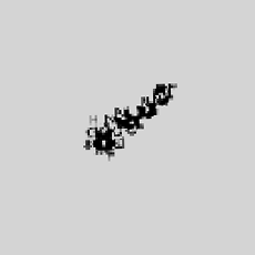 C[C@@H](Oc1c(N)ncc2c(-c3ccc(N4CCN(C)CC4)nc3)coc12)c1c(Cl)c(F)cc(F)c1Cl